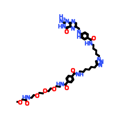 COCC(=O)NCCOCCOCCOCCNC(=O)c1ccc(C(=O)NCCCCCCc2cn(CCCCCNC(=O)c3ccc(NCc4cnc5nc(N)[nH]c(=O)c5n4)cc3)nn2)cc1